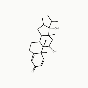 CC(C)C1(O)C(C)CC2C3CCC4=CC(=O)C=CC4(C)C3(F)C(O)CC21C